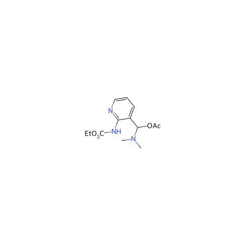 [CH2]COC(=O)Nc1ncccc1C(OC(C)=O)N(C)C